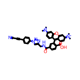 CN(C)c1ccc2c(-c3cc(C(=O)NCc4cn(-c5ccc(C#CC#N)cc5)nn4)ccc3C(=O)O)c3ccc(=[N+](C)C)cc-3oc2c1